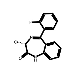 O=C1Nc2ccccc2C(c2ccccc2F)=N[C@H]1Cl